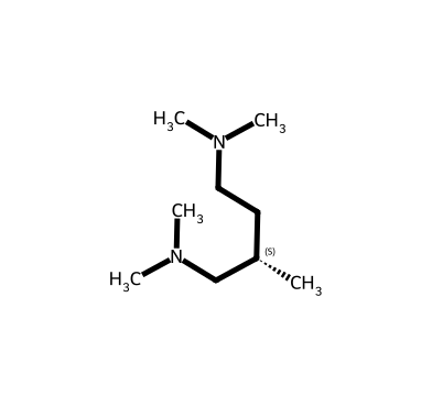 C[C@@H](CCN(C)C)CN(C)C